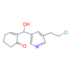 O=C1CCCC=C1C(O)c1cncc(CCCl)c1